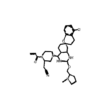 C=CC(=O)N1CCN(C2NC(OCC3CCCN3C)NC3C[C@@]4(CCc5c(Cl)cccc5O4)CCC32)CC1CC#N